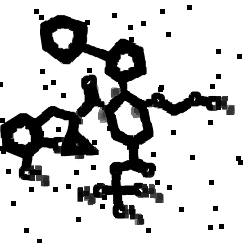 COCO[C@@H]1CN(C(=O)OC(C)(C)C)C[C@H](C(=O)N(Cc2cccc(C)c2C)C2CC2)[C@H]1c1cccc(-c2ccccc2)c1